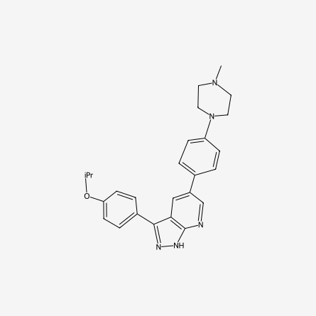 CC(C)Oc1ccc(-c2n[nH]c3ncc(-c4ccc(N5CCN(C)CC5)cc4)cc23)cc1